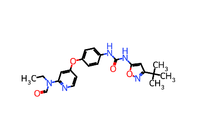 CCN(C=O)c1cc(Oc2ccc(NC(=O)Nc3cc(C(C)(C)C)no3)cc2)ccn1